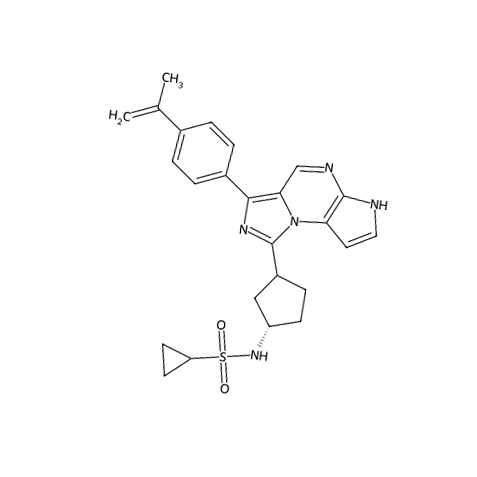 C=C(C)c1ccc(-c2nc(C3CC[C@H](NS(=O)(=O)C4CC4)C3)n3c2cnc2[nH]ccc23)cc1